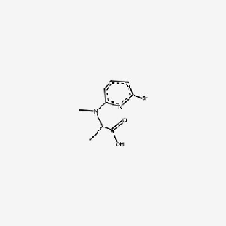 CC(C(=O)O)N(C)c1cccc(Br)n1